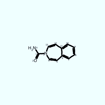 NC(=O)N1C=Cc2ccccc2C=C1